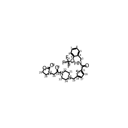 O=C(NCc1ccccc1OC(F)(F)F)c1ccc(CN2CCN(C(=O)CN3CCOC3=O)CC2)s1